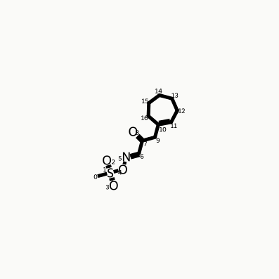 CS(=O)(=O)ON=CC(=O)CC1=CCCCCC1